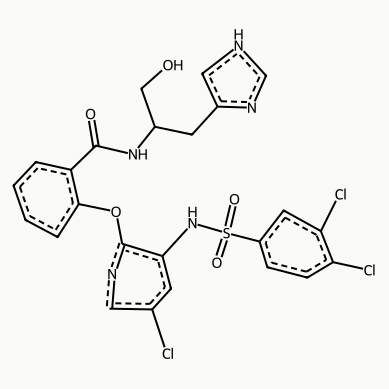 O=C(NC(CO)Cc1c[nH]cn1)c1ccccc1Oc1ncc(Cl)cc1NS(=O)(=O)c1ccc(Cl)c(Cl)c1